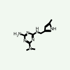 Cc1cc(CNc2nc(N)nc(N(C)C)n2)c[nH]1